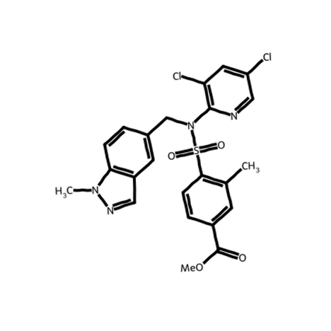 COC(=O)c1ccc(S(=O)(=O)N(Cc2ccc3c(cnn3C)c2)c2ncc(Cl)cc2Cl)c(C)c1